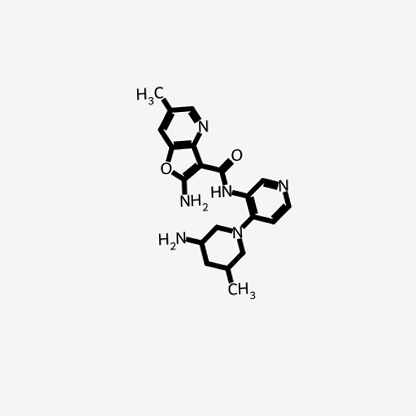 Cc1cnc2c(C(=O)Nc3cnccc3N3CC(C)CC(N)C3)c(N)oc2c1